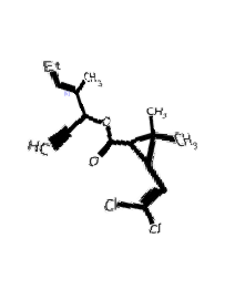 C#CC(OC(=O)C1C(C=C(Cl)Cl)C1(C)C)/C(C)=C/CC